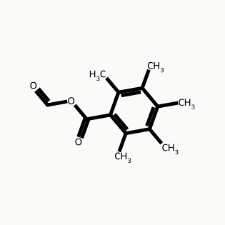 Cc1c(C)c(C)c(C(=O)OC=O)c(C)c1C